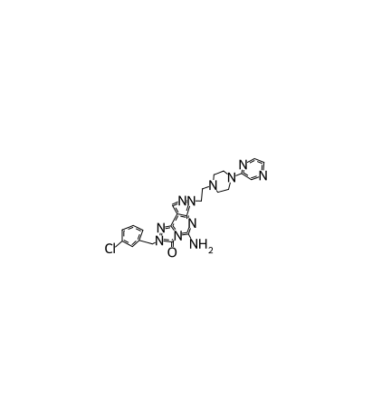 Nc1nc2c(cnn2CCN2CCN(c3cnccn3)CC2)c2nn(Cc3cccc(Cl)c3)c(=O)n12